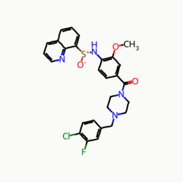 COc1cc(C(=O)N2CCN(Cc3ccc(Cl)c(F)c3)CC2)ccc1N[S+]([O-])c1cccc2cccnc12